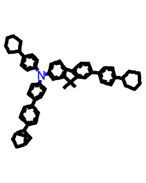 CC1(C)c2cc(-c3ccc(C4CCCCC4)cc3)ccc2-c2ccc(N(c3ccc(-c4ccc(C5CC6CCC5C6)cc4)cc3)c3ccc(C4CCCCC4)cc3)cc21